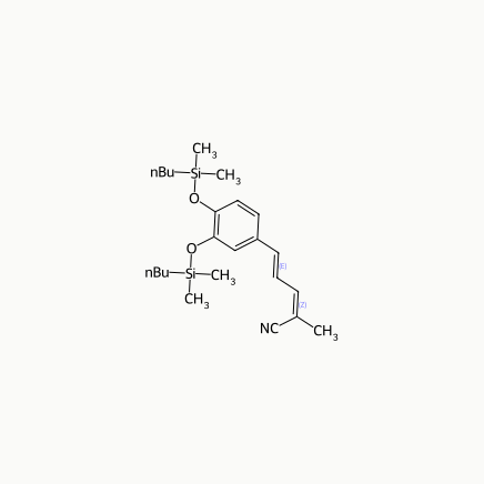 CCCC[Si](C)(C)Oc1ccc(/C=C/C=C(/C)C#N)cc1O[Si](C)(C)CCCC